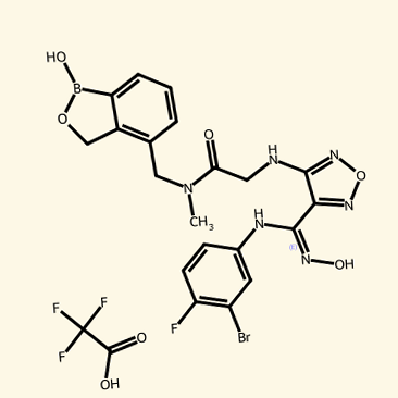 CN(Cc1cccc2c1COB2O)C(=O)CNc1nonc1/C(=N\O)Nc1ccc(F)c(Br)c1.O=C(O)C(F)(F)F